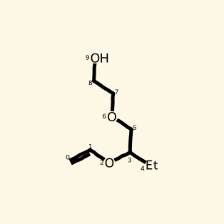 C=COC(CC)COCCO